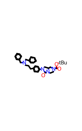 CC(C)(C)OC(=O)N1CCN2C(=O)N(c3ccc(CCCN(Cc4ccccc4)Cc4ccccc4)cc3)CC2C1